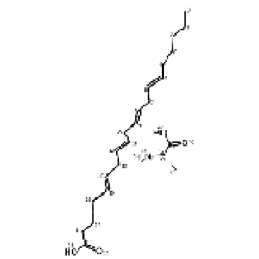 CCCCCC=CCC=CCC=CCC=CCCCC(=O)O.C[C@H](N)C(=O)O